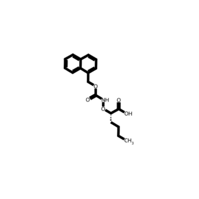 CCCC[C@H](ONC(=O)OCc1cccc2ccccc12)C(=O)O